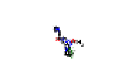 COc1nc2c(c(N3CCN(C(=O)C#CCN4CCCC4)CC3)n1)CCN(c1cccc(Cl)c1C(F)(F)F)C2